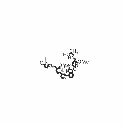 COc1nc(-c2ccnc(-c3cccc4c3CC[C@@H]4Oc3nc(OC)c(CNCC(C)O)cc3C(F)(F)F)c2Cl)ccc1CNC[C@H]1CCC(=O)N1